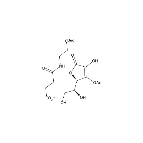 CC(=O)OC1=C(O)C(=O)O[C@@H]1[C@@H](O)CO.CCCCCCCCCCCCNC(=O)CCC(=O)O